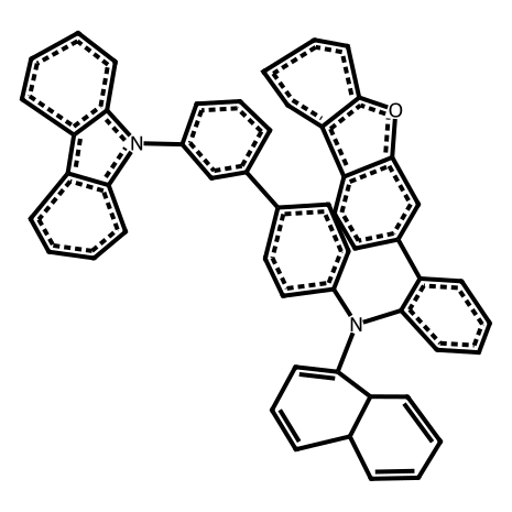 C1=CC2C=CC=C(N(c3ccc(-c4cccc(-n5c6ccccc6c6ccccc65)c4)cc3)c3ccccc3-c3ccc4c(c3)oc3ccccc34)C2C=C1